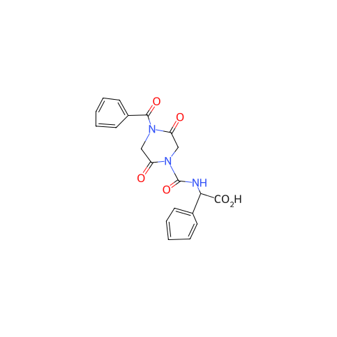 O=C(O)C(NC(=O)N1CC(=O)N(C(=O)c2ccccc2)CC1=O)c1ccccc1